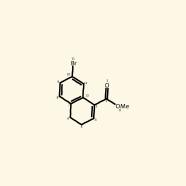 COC(=O)C1=CCCc2ccc(Br)cc21